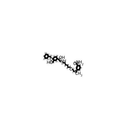 CN(CCOCCCCCCNCC(O)c1ccc(OCc2ccccc2)c(CO)c1)c1cccc(C(N)=O)c1